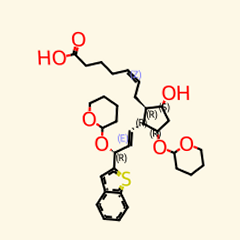 O=C(O)CCC/C=C\C[C@@H]1[C@@H](/C=C/[C@@H](OC2CCCCO2)c2cc3ccccc3s2)[C@H](OC2CCCCO2)C[C@@H]1O